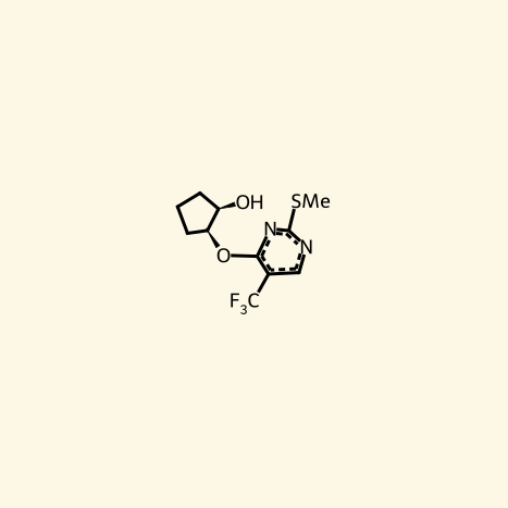 CSc1ncc(C(F)(F)F)c(O[C@H]2CCC[C@H]2O)n1